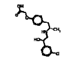 C[C@@H](Cc1ccc(OCC(=O)O)cc1)NC[C@H](O)c1cccc(Cl)c1